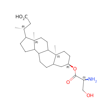 C[C@H](CC(=O)O)C1CCC2C3CCC4C[C@H](OC(=O)[C@@H](N)CO)CC[C@]4(C)C3CC[C@@]21C